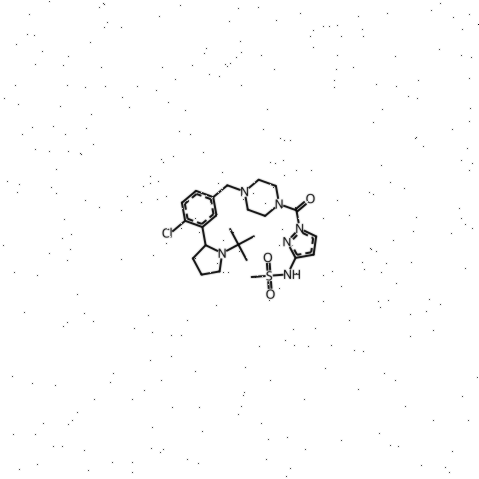 CC(C)(C)N1CCCC1c1cc(CN2CCN(C(=O)n3ccc(NS(C)(=O)=O)n3)CC2)ccc1Cl